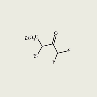 CCOC(=O)C(CC)C(=O)C(F)F